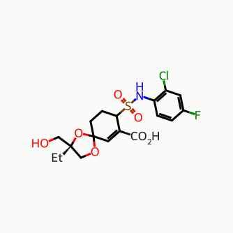 CC[C@]1(CO)COC2(C=C(C(=O)O)C(S(=O)(=O)Nc3ccc(F)cc3Cl)CC2)O1